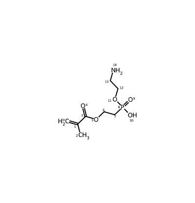 C=C(C)C(=O)OCCP(=O)(O)OCCN